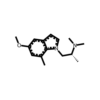 COc1cc(C)c2c(ccn2C[C@@H](C)N(C)C)c1